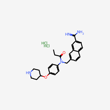 CCC(=O)N(Cc1ccc2ccc(C(=N)N)cc2c1)c1ccc(OC2CCNCC2)cc1.Cl.Cl